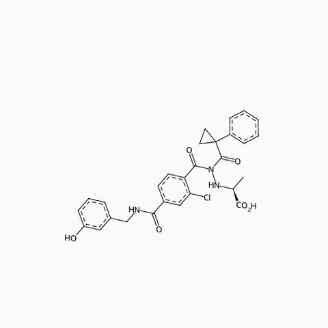 C[C@H](NN(C(=O)c1ccc(C(=O)NCc2cccc(O)c2)cc1Cl)C(=O)C1(c2ccccc2)CC1)C(=O)O